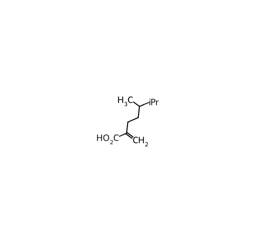 C=C(CCC(C)C(C)C)C(=O)O